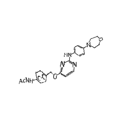 CC(=O)NC12CCC(COc3ccnc(Nc4ccc(N5CCOCC5)cc4)n3)(CC1)CC2